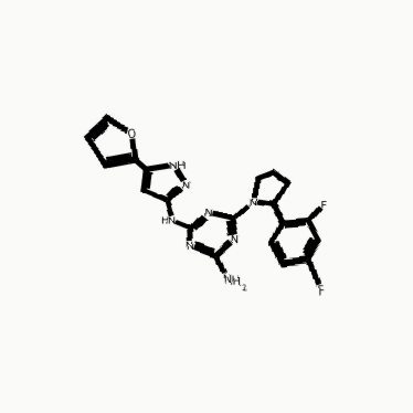 Nc1nc(Nc2cc(-c3ccco3)[nH]n2)nc(N2CCCC2c2ccc(F)cc2F)n1